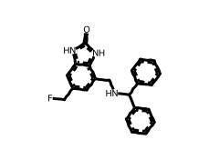 O=c1[nH]c2cc(CF)cc(CNC(c3ccccc3)c3ccccc3)c2[nH]1